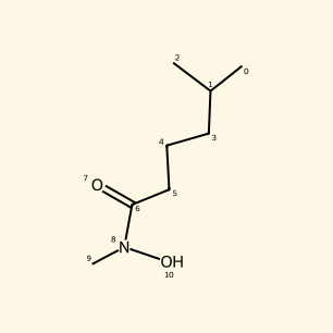 CC(C)CCCC(=O)N(C)O